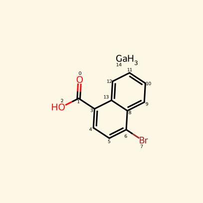 O=C(O)c1ccc(Br)c2ccccc12.[GaH3]